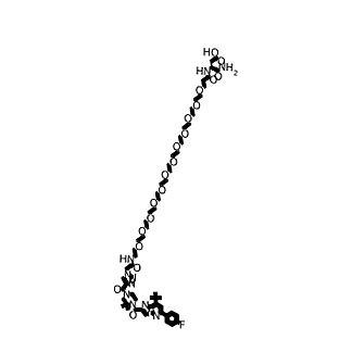 CC(C)(C)c1cc(-c2ccc(F)cc2)nn2cc(C(=O)N3CCN(C(=O)c4cn(CC(=O)NCCOCCOCCOCCOCCOCCOCCOCCOCCOCCOCCOCCOCCC(=O)N[C@@H](CC(=O)O)C(N)=O)nn4)CC3(C)C)nc12